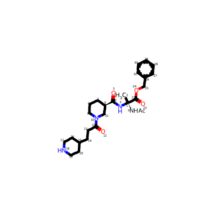 CC(=O)N[C@@](C)(NC(=O)[C@@H]1CCCN(C(=O)CCC2CCNCC2)C1)C(=O)OCc1ccccc1